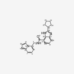 O=C(NCc1cccc2nccn12)c1ncnc2nc(C3CCCC3)[nH]c12